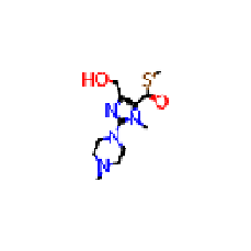 CSC(=O)c1c(CO)nc(N2CCN(C)CC2)n1C